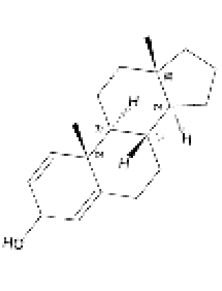 C[C@@]12CCC[C@H]1[C@@H]1CCC3=CC(O)C=C[C@]3(C)[C@H]1CC2